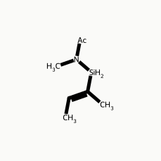 CC=C(C)[SiH2]N(C)C(C)=O